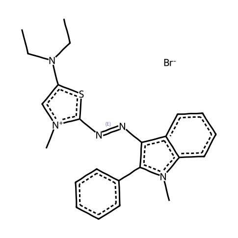 CCN(CC)c1c[n+](C)c(/N=N/c2c(-c3ccccc3)n(C)c3ccccc23)s1.[Br-]